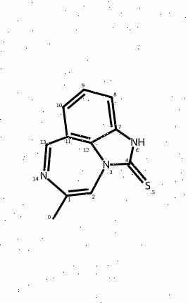 CC1=Cn2c(=S)[nH]c3cccc(c32)C=N1